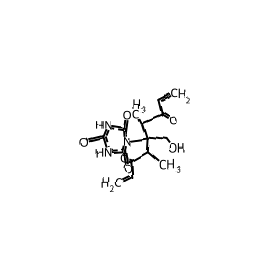 C=CC(=O)C(C)C(CO)(C(C)C(=O)C=C)n1c(=O)[nH]c(=O)[nH]c1=O